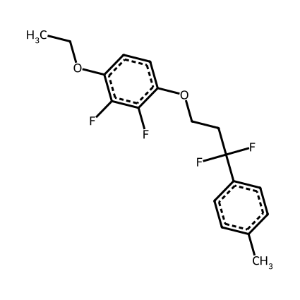 CCOc1ccc(OCCC(F)(F)c2ccc(C)cc2)c(F)c1F